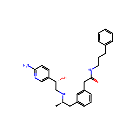 C[C@H](Cc1cccc(CC(=O)NCCCc2ccccc2)c1)NC[C@@H](O)c1ccc(N)nc1